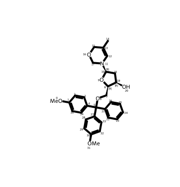 COc1ccc(C(OC[C@H]2O[C@@H](N3C=C(C)COC3)C[C@H]2O)(c2ccccc2)c2ccc(OC)cc2)cc1